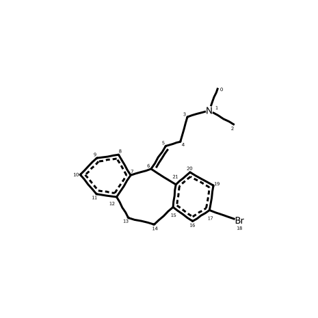 CN(C)CC/C=C1/c2ccccc2CCc2cc(Br)ccc21